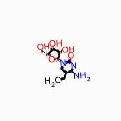 C=Cc1cn([C@@H]2O[C@H](CO)[C@H](O)[C@H]2O)c(=O)nc1N